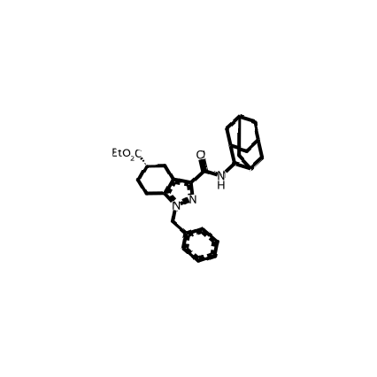 CCOC(=O)[C@H]1CCc2c(c(C(=O)NC3C4CC5CC(C4)CC3C5)nn2Cc2ccccc2)C1